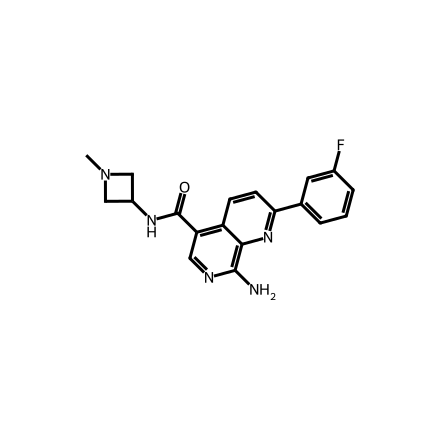 CN1CC(NC(=O)c2cnc(N)c3nc(-c4cccc(F)c4)ccc23)C1